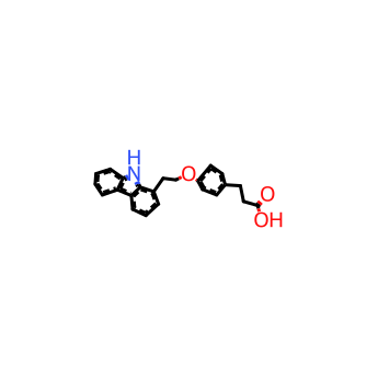 O=C(O)CCc1ccc(OCCc2cccc3c2[nH]c2ccccc23)cc1